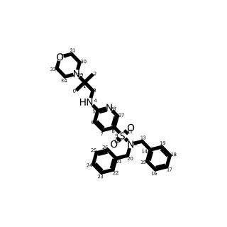 CC(C)(CNc1ccc(S(=O)(=O)N(Cc2ccccc2)Cc2ccccc2)cn1)N1CCOCC1